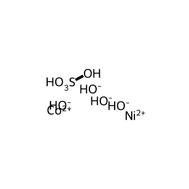 O=S(=O)(O)O.[Co+2].[Ni+2].[OH-].[OH-].[OH-].[OH-]